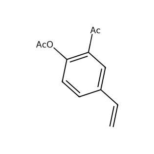 C=Cc1ccc(OC(C)=O)c(C(C)=O)c1